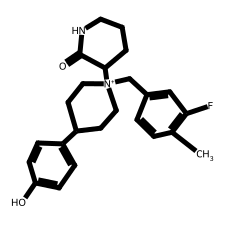 Cc1ccc(C[N+]2(C3CCCNC3=O)CCC(c3ccc(O)cc3)CC2)cc1F